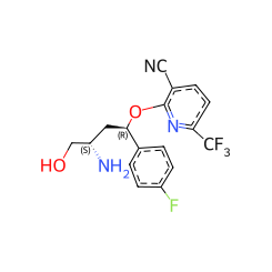 N#Cc1ccc(C(F)(F)F)nc1O[C@H](C[C@H](N)CO)c1ccc(F)cc1